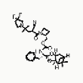 CC1(C)[C@@H]2C[C@H]3OB([C@H](Cc4ccccc4)NC(=O)OC[C@H]4CCN4C(=O)C(C#N)CC(C)(C)N4CCC(F)(F)C4)O[C@@]3(C)[C@H]1C2